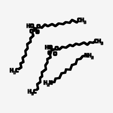 CCCCCCCCCCCCOP(=O)(O)OCCCCCCCCCCCC.CCCCCCCCCCCCOP(=O)(O)OCCCCCCCCCCCC.NCCCCCCCCCCCCN